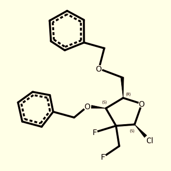 FCC1(F)[C@H](Cl)O[C@H](COCc2ccccc2)[C@@H]1OCc1ccccc1